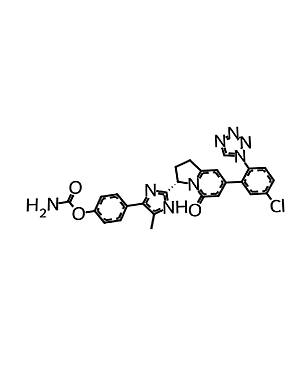 Cc1[nH]c([C@@H]2CCc3cc(-c4cc(Cl)ccc4-n4cnnn4)cc(=O)n32)nc1-c1ccc(OC(N)=O)cc1